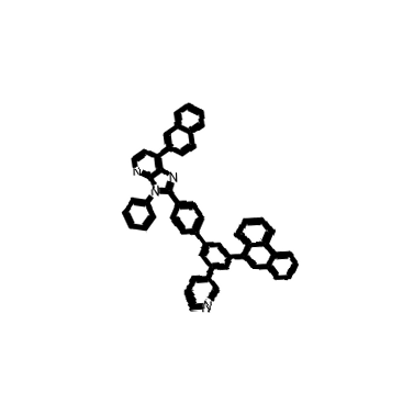 c1ccc(-n2c(-c3ccc(-c4cc(-c5cccnc5)cc(-c5cc6ccccc6c6ccccc56)c4)cc3)nc3c(-c4ccc5ccccc5c4)ccnc32)cc1